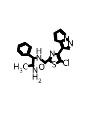 CC(N)C(NC(=O)c1nc(-c2cnn3ccccc23)c(Cl)s1)c1ccccc1